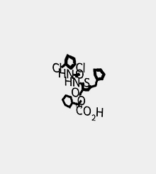 O=C(Nc1sc(Cc2ccccc2)cc1C(=O)O[C@H](C(=O)O)C1CCCCC1)Nc1c(Cl)cccc1Cl